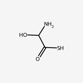 NC(O)C(=O)S